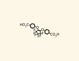 O=C(O)c1ccc(OC2=C(Oc3ccc(C(=O)O)cc3)C(F)(F)C(F)(F)C2(F)F)cc1